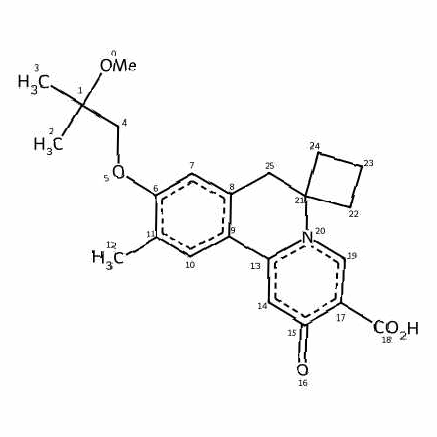 COC(C)(C)COc1cc2c(cc1C)-c1cc(=O)c(C(=O)O)cn1C1(CCC1)C2